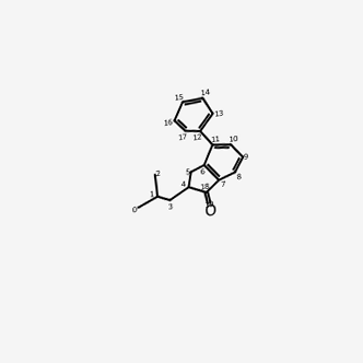 CC(C)CC1Cc2c(cccc2-c2ccccc2)C1=O